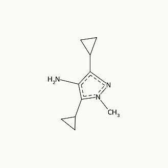 Cn1nc(C2CC2)c(N)c1C1CC1